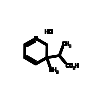 CC(C(=O)O)C1(N)C=CC=NC1.Cl